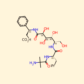 CC(C)C[C@H](NC(=O)C(C)(C)N)C(=O)N[C@@H](CO)[C@@H](O)[C@@H](O)[C@H](O)C(=O)N[C@@H](CC(=O)O)c1ccccc1